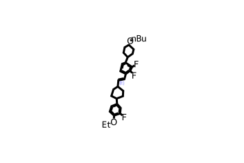 CCCCOC1CCC(c2ccc(/C=C/C3CCC(c4ccc(OCC)c(F)c4)CC3)c(F)c2F)CC1